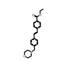 CCOC(=O)c1ccc(/C=C/c2ccc(CN3CCOCC3)cc2)cc1